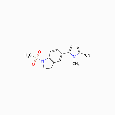 Cn1c(C#N)ccc1-c1ccc2c(c1)CCN2S(C)(=O)=O